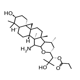 CCC(=O)O[C@@H]([C@H]1C[C@@H](C)C2C(O1)C(N)[C@@]1(C)[C@@H]3CC[C@H]4C(C)(C)[C@@H](O)CC[C@@]45C[C@@]35CC[C@]21C)C(C)(C)O